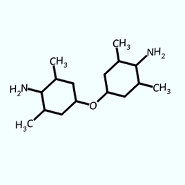 CC1CC(OC2CC(C)C(N)C(C)C2)CC(C)C1N